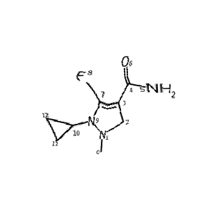 CN1CC(C(N)=O)=C(F)N1C1CC1